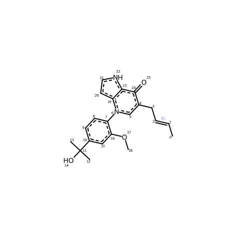 C/C=C/Cc1cn(-c2ccc(C(C)(C)O)cc2OC)c2cc[nH]c2c1=O